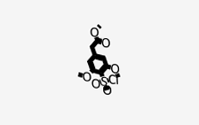 COC(=O)Cc1cc(OC)c(S(=O)(=O)Cl)c(OC)c1